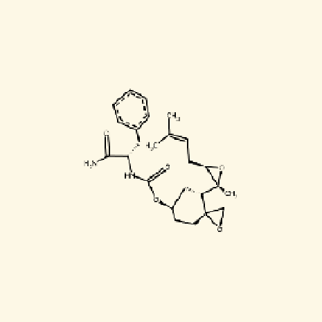 CC(C)=CC[C@H]1O[C@]1(C)[C@H]1C[C@H](OC(=O)N[C@@H](Cc2ccccc2)C(N)=O)CC[C@]12CO2